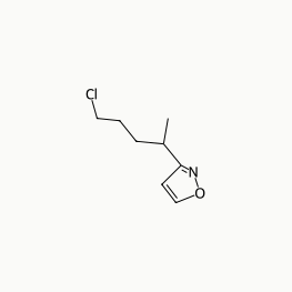 CC(CCCCl)c1ccon1